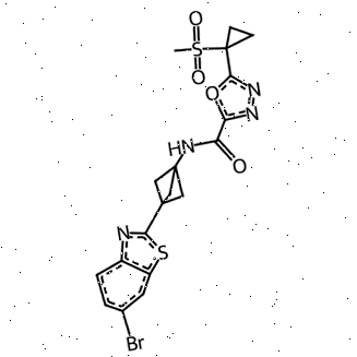 CS(=O)(=O)C1(c2nnc(C(=O)NC34CC(c5nc6ccc(Br)cc6s5)(C3)C4)o2)CC1